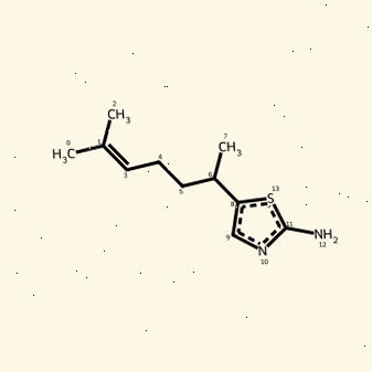 CC(C)=CCCC(C)c1cnc(N)s1